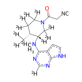 [2H]c1nc(N(C)[C@]2([2H])[C@H](C([2H])([2H])[2H])C([2H])([2H])C([2H])([2H])N(C(=O)C[N+]#[C-])C2([2H])[2H])c2cc[nH]c2n1